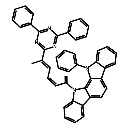 C=C(/C=C\C=C(/C)c1nc(-c2ccccc2)nc(-c2ccccc2)n1)n1c2ccccc2c2ccc3c4ccccc4n(-c4ccccc4)c3c21